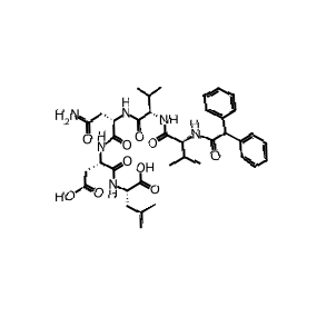 CC(C)C[C@H](NC(=O)[C@H](CC(=O)O)NC(=O)[C@H](CC(N)=O)NC(=O)[C@@H](NC(=O)[C@@H](NC(=O)C(c1ccccc1)c1ccccc1)C(C)C)C(C)C)C(=O)O